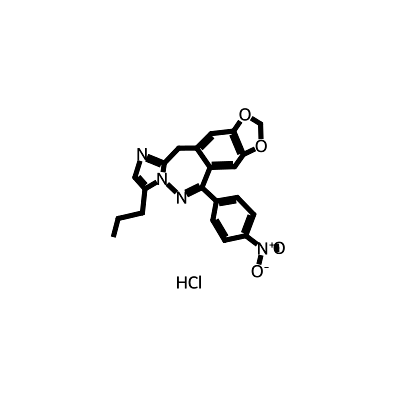 CCCc1cnc2n1N=C(c1ccc([N+](=O)[O-])cc1)c1cc3c(cc1C2)OCO3.Cl